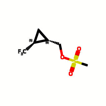 CS(=O)(=O)OC[C@H]1C[C@@H]1C(F)(F)F